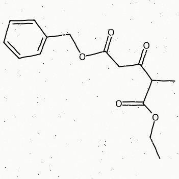 CCOC(=O)C(C)C(=O)CC(=O)OCc1ccccc1